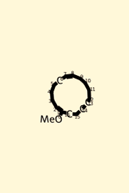 CO/C1=C/CCCC/C=C\CCCCCCCC1